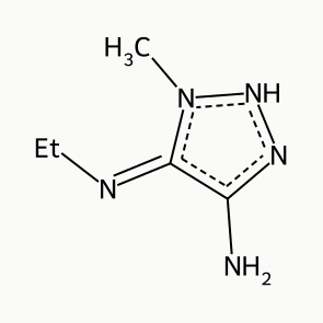 CC/N=c1/c(N)n[nH]n1C